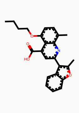 CCCCOc1ccc(C)c2nc(-c3c(C)oc4ccccc34)cc(C(=O)O)c12